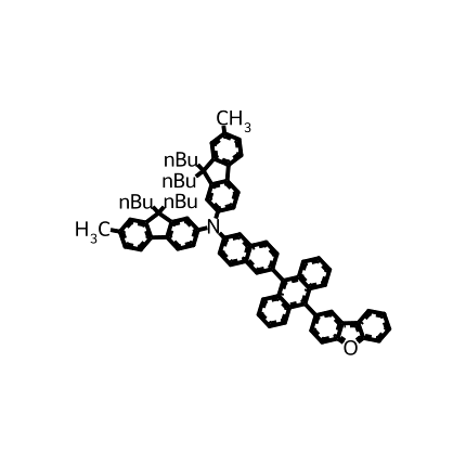 CCCCC1(CCCC)c2cc(C)ccc2-c2ccc(N(c3ccc4c(c3)C(CCCC)(CCCC)c3cc(C)ccc3-4)c3ccc4cc(-c5c6ccccc6c(-c6ccc7oc8ccccc8c7c6)c6ccccc56)ccc4c3)cc21